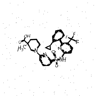 C[C@]1(C(=O)O)CCCN(c2cccc(S(=O)(=O)Nc3ccc(C(F)(F)F)c(-c4ccccc4C4CC4)n3)n2)C1